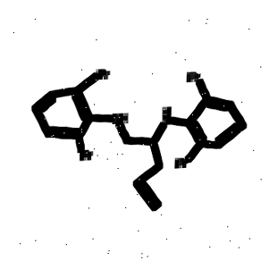 C=CCC(CNc1c(C(C)C)cccc1C(C)C)Nc1c(C(C)C)cccc1C(C)C